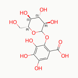 O=C(O)c1cc(O)c(O)c(O)c1OC1O[C@H](CO)[C@@H](O)[C@H](O)[C@H]1O